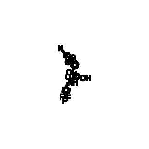 N#CC1CN(S(=O)(=O)c2cccc(C(=O)N3C[C@H](O)C[C@@H]3C(=O)NCc3ccc(C(F)(F)F)cc3)c2)C1